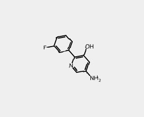 Nc1cnc(-c2cccc(F)c2)c(O)c1